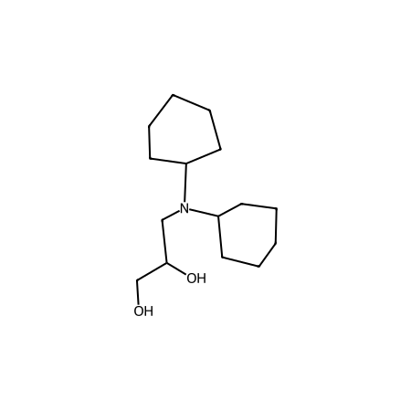 OCC(O)CN(C1CCCCC1)C1CCCCC1